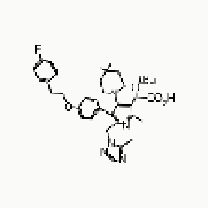 Cc1nc(Cn2ncnc2C)c(-c2ccc(OCCc3ccc(F)cc3)cc2)c(N2CCC(C)(C)CC2)c1C(OC(C)(C)C)C(=O)O